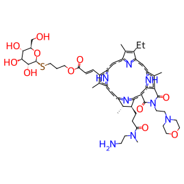 CCC1=C(C)c2cc3[nH]c(cc4nc(c5c6[nH]c(cc1n2)c(C)c6C(=O)N(CCN1CCOCC1)C5=O)[C@@H](CCC(=O)N(C)CCN)[C@@H]4C)c(C)c3/C=C/C(=O)OCCCS[C@@H]1O[C@H](CO)[C@@H](O)[C@H](O)[C@H]1O